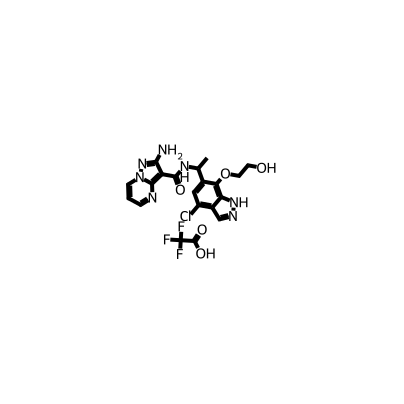 CC(NC(=O)c1c(N)nn2cccnc12)c1cc(Cl)c2cn[nH]c2c1OCCO.O=C(O)C(F)(F)F